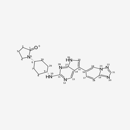 O=C1CCCN1[C@H]1CC[C@@H](Nc2ncc3c(-c4ccc5ncnn5c4)c[nH]c3n2)CC1